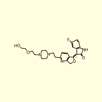 O=C1Nc2ccc(F)cc2/C1=C1/OCc2nc(CCN3CCN(CCOCCO)CC3)ccc21